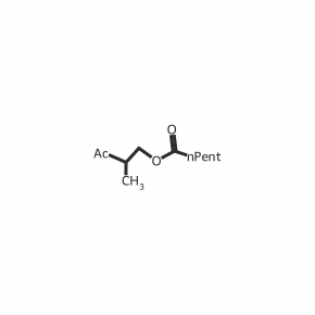 CCCCCC(=O)OCC(C)C(C)=O